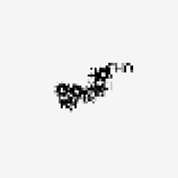 CCCCc1nc(Cl)c(C(=O)c2ccc(C=O)c[n+]2[O-])n1CCc1ccc(-c2ccccc2)c(-c2nnn[nH]2)c1